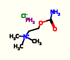 C[N+](C)(C)CCOC(N)=O.P.[Cl-]